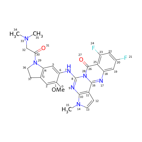 COc1cc2c(cc1Nc1nc3c(ccn3C)c3nc4cc(F)cc(F)c4c(=O)n13)N(C(=O)CN(C)C)CC2